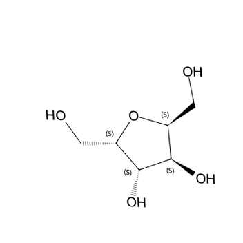 OC[C@@H]1O[C@@H](CO)[C@@H](O)[C@@H]1O